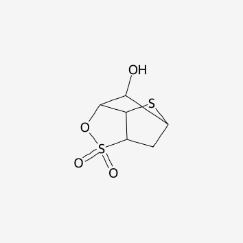 O=S1(=O)OC2C(O)C3CC1C2S3